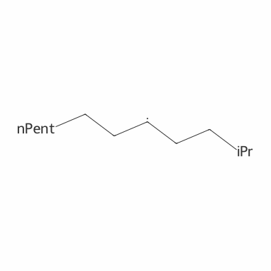 CCCCCCC[CH]CCC(C)C